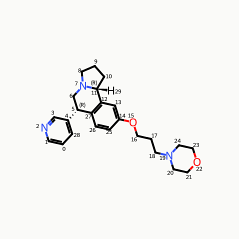 c1cncc([C@@H]2CN3CCC[C@@H]3c3cc(OCCCN4CCOCC4)ccc32)c1